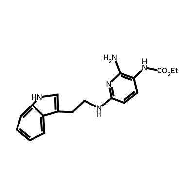 CCOC(=O)Nc1ccc(NCCc2c[nH]c3ccccc23)nc1N